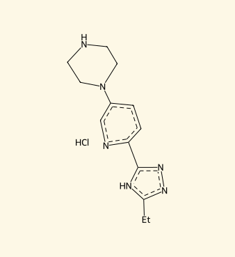 CCc1nnc(-c2ccc(N3CCNCC3)cn2)[nH]1.Cl